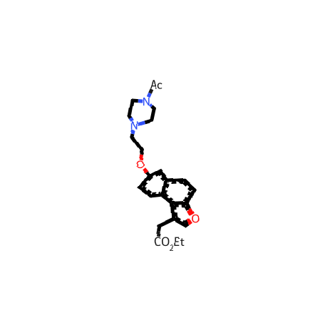 CCOC(=O)Cc1coc2ccc3cc(OCCN4CCN(C(C)=O)CC4)ccc3c12